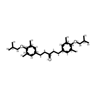 Cc1cc(CCC(=O)CCc2cc(C)c(OCC(C)C)c(C)c2)cc(C)c1OCC(C)C